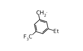 [CH2]c1cc(CC)cc(C(F)(F)F)c1